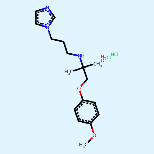 COc1ccc(OCC(C)(C)NCCCn2ccnc2)cc1.Cl.Cl.O